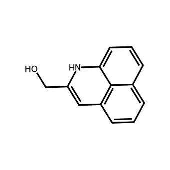 OCC1=Cc2cccc3cccc(c23)N1